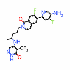 CC(CCCn1ccc2cc(-c3cc(F)c(N)cn3)c(F)cc2c1=O)Nc1cn[nH]c(=O)c1C(F)(F)F